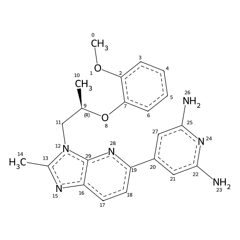 COc1ccccc1O[C@H](C)Cn1c(C)nc2ccc(-c3cc(N)nc(N)c3)nc21